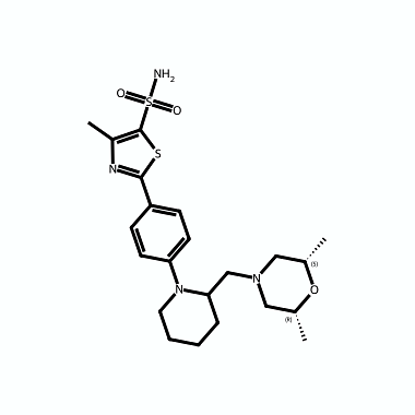 Cc1nc(-c2ccc(N3CCCCC3CN3C[C@@H](C)O[C@@H](C)C3)cc2)sc1S(N)(=O)=O